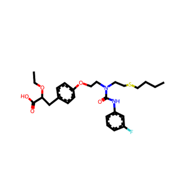 CCCCSCCN(CCOc1ccc(CC(OCC)C(=O)O)cc1)C(=O)Nc1cccc(F)c1